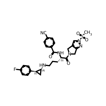 CS(=O)(=O)n1cc2c(n1)CN(C(=O)[C@H](CCCN[C@@H]1C[C@H]1c1ccc(F)cc1)NC(=O)c1ccc(C#N)cc1)C2